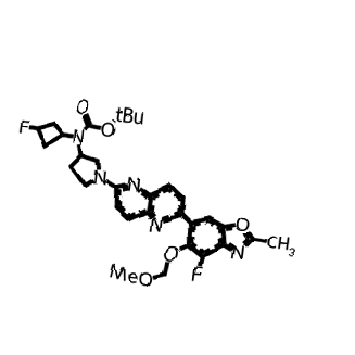 COCOc1c(-c2ccc3nc(N4CCC(N(C(=O)OC(C)(C)C)C5CC(F)C5)C4)ccc3n2)cc2oc(C)nc2c1F